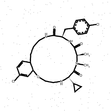 C[C@@H]1C(=O)N[C@H](Cc2ccc(Cl)cc2)C(=O)NCCCC2C=CC(Cl)=CC2OCCN[C@@H](C2CC2)C(=O)N1C